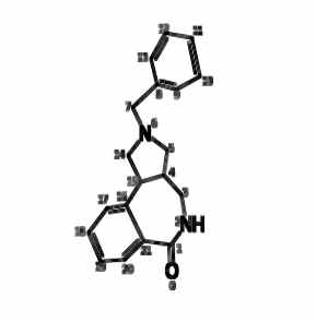 O=C1NCC2CN(Cc3ccccc3)CC2c2ccccc21